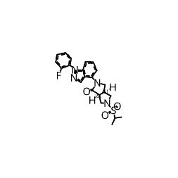 CC(C)S(=O)(=O)N1C[C@@H]2CN(c3cccc4c3cnn4-c3ccccc3F)C(=O)[C@@H]2C1